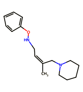 CC(=CCNOc1ccccc1)CN1CCCCC1